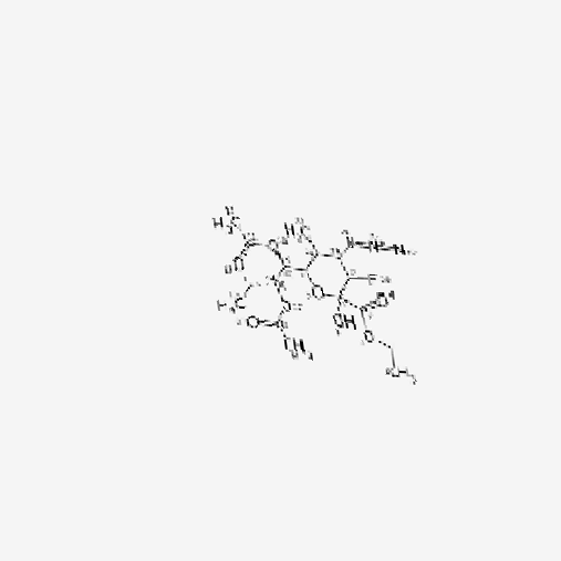 CCOC(=O)C1(O)OC([C@H](OC(C)=O)[C@@H](CC)OC(C)=O)C(C)C(N=[N+]=[N-])C1F